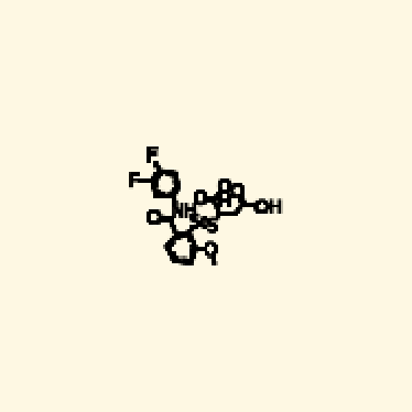 COc1cccc(C(=O)Nc2ccc(F)c(F)c2)c1[Se]SC(CC(=O)O)C(=O)O